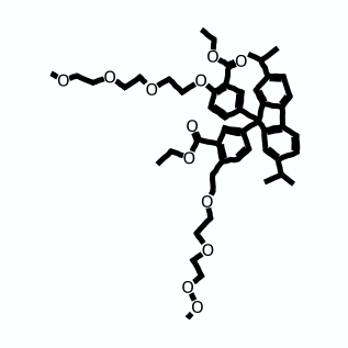 CCOC(=O)c1cc(C2(c3ccc(OCCOCCOCCOC)c(C(=O)OCC)c3)c3cc(C(C)C)ccc3-c3ccc(C(C)C)cc32)ccc1CCOCCOCCOOC